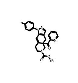 CC(C)(C)OC(=O)N1CCC2=Cc3c(cnn3-c3ccc(F)cc3)CC2(C(=O)c2ccccn2)C1